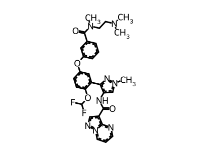 CN(C)CCN(C)C(=O)c1cccc(Oc2ccc(OC(F)F)c(-c3nn(C)cc3NC(=O)c3cnn4cccnc34)c2)c1